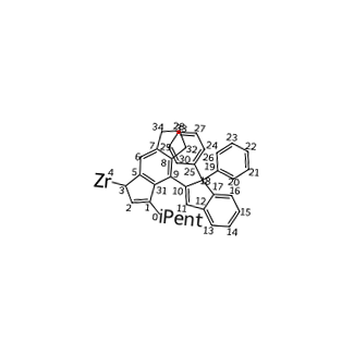 CCCC(C)C1=C[CH]([Zr])c2cc3c(c(C4=Cc5ccccc5C4(c4ccccc4)c4ccccc4)c21)CCC3